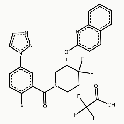 O=C(O)C(F)(F)F.O=C(c1cc(-n2ccnn2)ccc1F)N1CCC(F)(F)[C@@H](Oc2ccc3ccccc3n2)C1